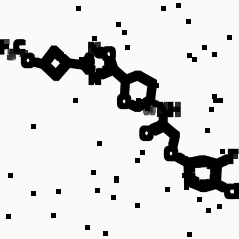 O=C(COc1ccc(Cl)c(F)c1)N[C@H]1CCC(c2nc(C3CC(OC(F)(F)F)C3)no2)OC1